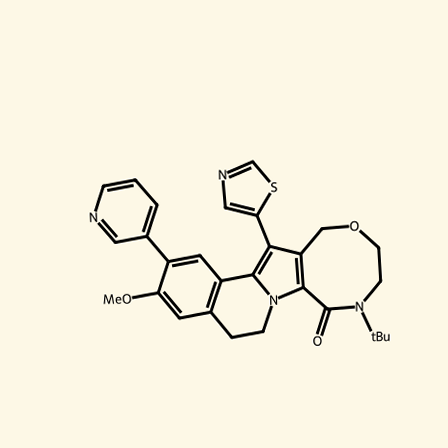 COc1cc2c(cc1-c1cccnc1)-c1c(-c3cncs3)c3c(n1CC2)C(=O)N(C(C)(C)C)CCOC3